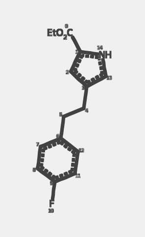 CCOC(=O)c1cc(CCc2ccc(F)cc2)c[nH]1